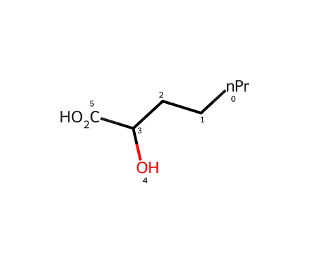 CCCCCC(O)C(=O)O